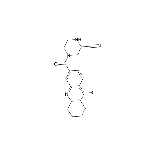 N#CC1CN(C(=O)c2ccc3c(Cl)c4c(nc3c2)CCCC4)CCN1